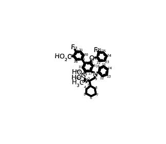 CN1C(C2CCCCC2)CN(c2ccccc2)c2cc(Oc3ccccc3F)c(-c3ccc(F)c(C(=O)O)c3)cc2S1(O)O